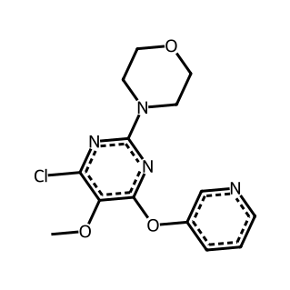 COc1c(Cl)nc(N2CCOCC2)nc1Oc1cccnc1